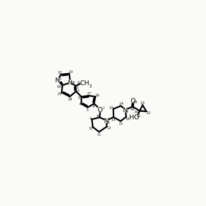 Cc1c(-c2ccc(OC3CCCCN3C3CCN(C(=O)C4(O)CC4)CC3)cc2)ccc2nccn12